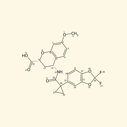 COc1ccc2c(c1)O[C@@H](C(=O)O)C[C@H]2NC(=O)C1(c2ccc3c(c2)OC(F)(F)O3)CC1